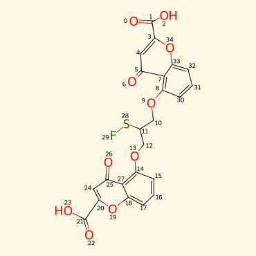 O=C(O)c1cc(=O)c2c(OCC(COc3cccc4oc(C(=O)O)cc(=O)c34)SF)cccc2o1